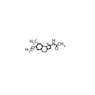 COc1cc2c(cc1C)-c1sc(NC(C)=O)cc1CC2